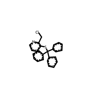 ClCc1ncccc1SC(c1ccccc1)(c1ccccc1)c1ccccc1